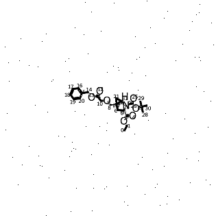 CCOC(=O)[C@@H]1C[C@]2(COCC(=O)OCc3ccccc3)C[C@@H]2N1C(=O)OC(C)(C)C